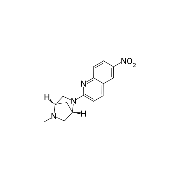 CN1C[C@@H]2C[C@H]1CN2c1ccc2cc([N+](=O)[O-])ccc2n1